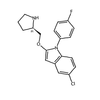 Fc1ccc(-n2c(OC[C@H]3CCCN3)cc3cc(Cl)ccc32)cc1